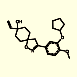 C=CC1(O)CCC2(CC1)CC(c1ccc(OC)c(OC3CCCC3)c1)=NO2